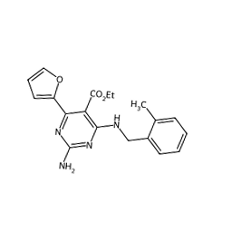 CCOC(=O)c1c(NCc2ccccc2C)nc(N)nc1-c1ccco1